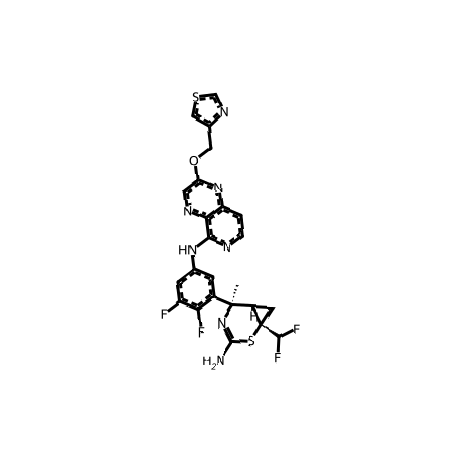 C[C@@]1(c2cc(Nc3nccc4nc(OCc5cscn5)cnc34)cc(F)c2F)N=C(N)S[C@@]2(C(F)F)C[C@@H]12